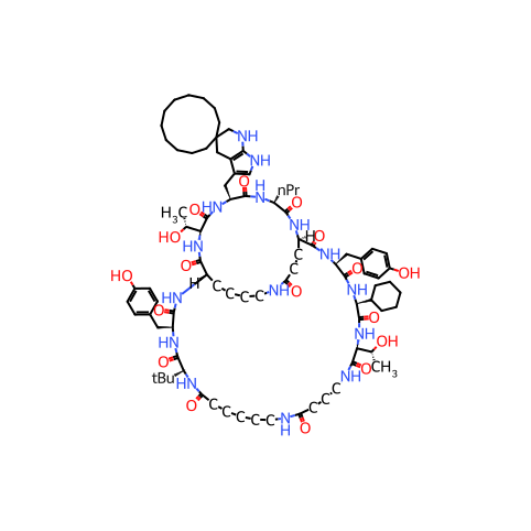 CCC[C@@H]1NC(=O)[C@H](Cc2c[nH]c3c2CC2(CCCCCCCCCCC2)CN3)NC(=O)[C@H]([C@@H](C)O)NC(=O)[C@@H]2CCCCNC(=O)CC[C@@H](NC1=O)C(=O)N[C@@H](Cc1ccc(O)cc1)C(=O)N[C@@H](C1CCCCC1)C(=O)N[C@@H]([C@@H](C)O)C(=O)NCCCC(=O)NCCCCCC(=O)N[C@@H](C(C)(C)C)C(=O)N[C@@H](Cc1ccc(O)cc1)C(=O)N2